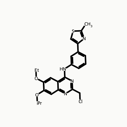 CCOc1cc2c(Nc3cccc(-c4csc(C)n4)c3)nc(CCl)nc2cc1OC(C)C